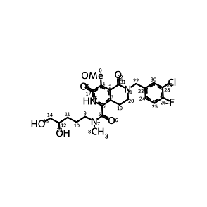 COc1c2c(c(C(=O)N(C)CCCC(O)CO)[nH]c1=O)CCN(Cc1ccc(F)c(Cl)c1)C2=O